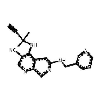 C#CC(C)(C)Nc1c(C#N)cnc2cnc(NCc3cccnc3)cc12